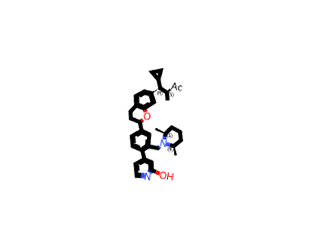 CC(=O)[C@@H](C)[C@H](c1ccc2c(c1)OC(c1ccc(-c3ccnc(O)c3)c(CN3[C@H](C)CCC[C@@H]3C)c1)CC2)C1CC1